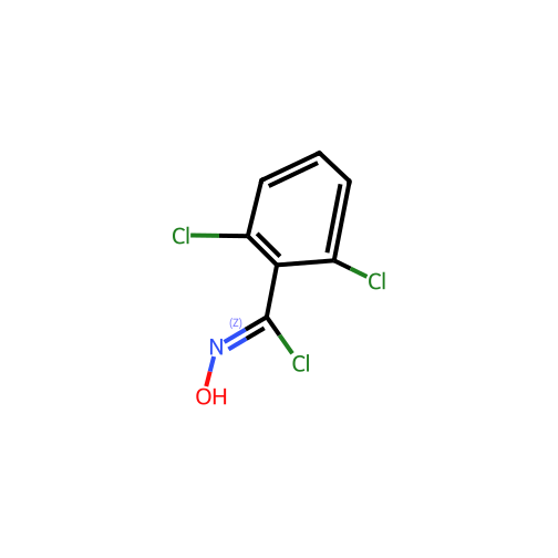 O/N=C(\Cl)c1c(Cl)cccc1Cl